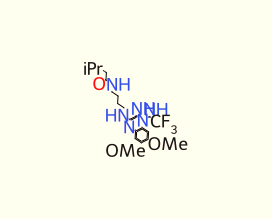 COc1cc2nc(NCCCCNC(=O)CC(C)C)c(=N)n(C(=N)C(F)(F)F)c2cc1OC